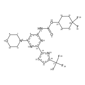 O=C(Nc1cc(N2CCOCC2)nc(-c2nc(C(F)(F)F)cs2)n1)OC1CCC(F)(F)CC1